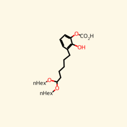 CCCCCCOC(CCCCCc1cccc(OC(=O)O)c1O)OCCCCCC